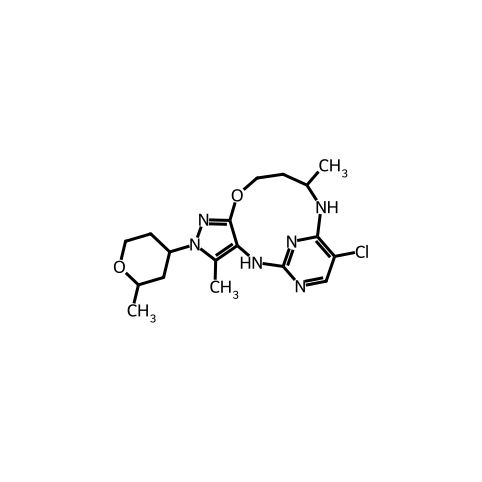 Cc1c2c(nn1C1CCOC(C)C1)OCCC(C)Nc1nc(ncc1Cl)N2